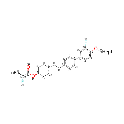 CCCCCCCOc1ccc(-c2ccc(CC[C@H]3CC[C@H](OC(=O)[C@@H](F)CCCC)CC3)cc2)cc1F